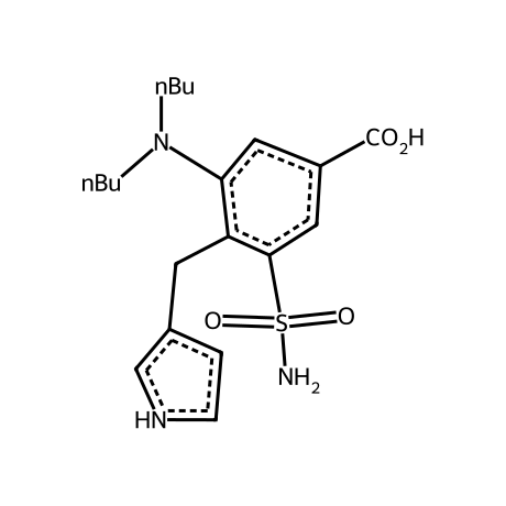 CCCCN(CCCC)c1cc(C(=O)O)cc(S(N)(=O)=O)c1Cc1cc[nH]c1